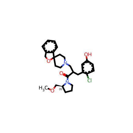 COC[C@@H]1CCCN1C(=O)C(Cc1cc(O)ccc1Cl)CN1CCC2(CC1)OCc1ccccc12